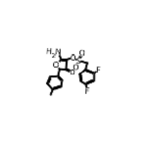 Cc1ccc(C2OC(N)=C(OS(=O)(=O)Cc3ccc(F)cc3F)C2=O)cc1